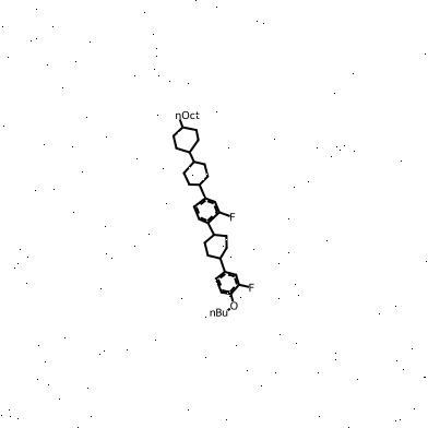 CCCCCCCCC1CCC(C2CCC(c3ccc(C4CCC(c5ccc(OCCCC)c(F)c5)CC4)c(F)c3)CC2)CC1